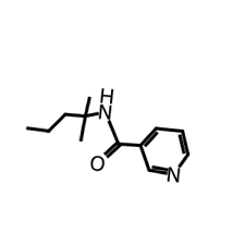 CCCC(C)(C)NC(=O)c1cccnc1